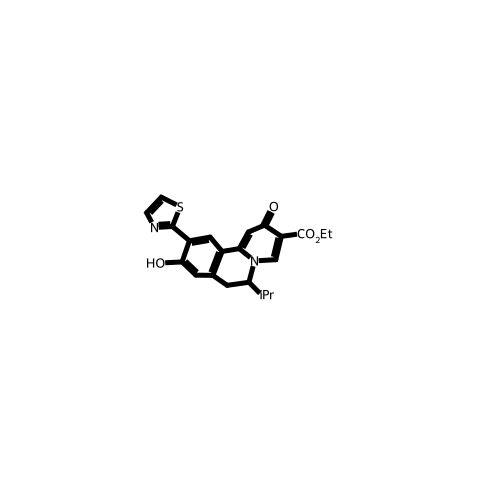 CCOC(=O)c1cn2c(cc1=O)-c1cc(-c3nccs3)c(O)cc1CC2C(C)C